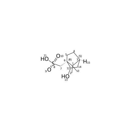 CC1(C)[C@H]2CC[C@]1(CS(=O)(=O)O)C(O)C2